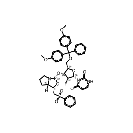 COc1ccc(C(OC[C@H]2O[C@H](n3c(=O)cc[nH]c3=O)[C@@H](F)[C@@H]2O[P@]2O[C@H](CS(=O)(=O)c3ccccc3)[C@@H]3CCCN32)(c2ccccc2)c2ccc(OC)cc2)cc1